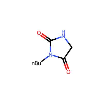 CCCCN1C(=O)CNC1=O